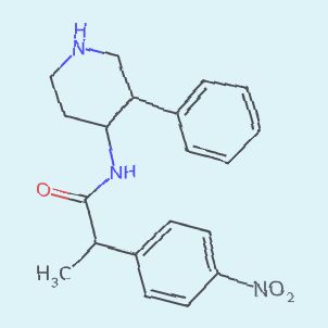 CC(C(=O)NC1CCNCC1c1ccccc1)c1ccc([N+](=O)[O-])cc1